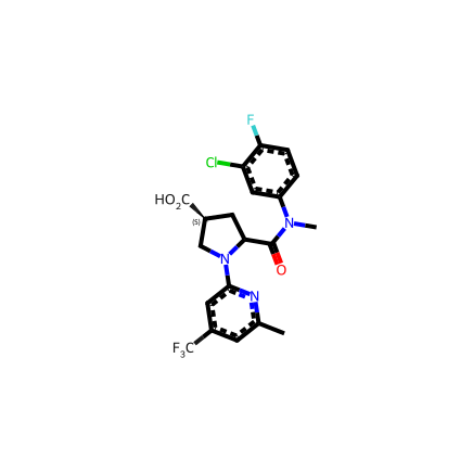 Cc1cc(C(F)(F)F)cc(N2C[C@@H](C(=O)O)CC2C(=O)N(C)c2ccc(F)c(Cl)c2)n1